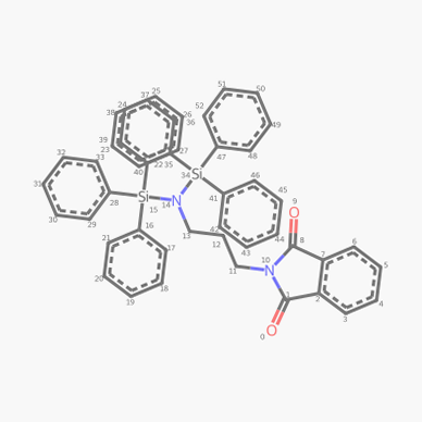 O=C1c2ccccc2C(=O)N1CCCN([Si](c1ccccc1)(c1ccccc1)c1ccccc1)[Si](c1ccccc1)(c1ccccc1)c1ccccc1